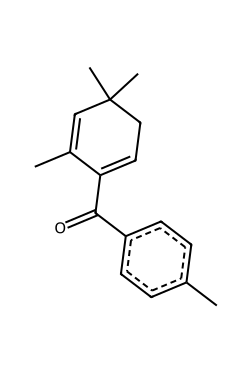 CC1=CC(C)(C)CC=C1C(=O)c1ccc(C)cc1